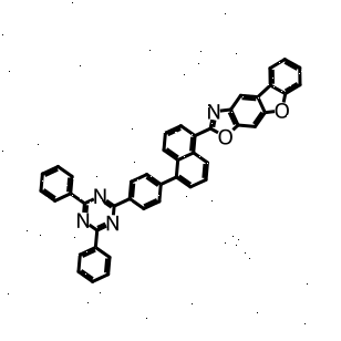 c1ccc(-c2nc(-c3ccccc3)nc(-c3ccc(-c4cccc5c(-c6nc7cc8c(cc7o6)oc6ccccc68)cccc45)cc3)n2)cc1